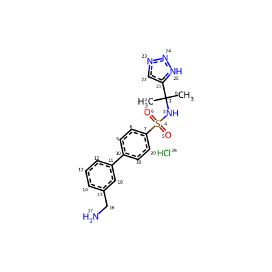 CC(C)(NS(=O)(=O)c1ccc(-c2cccc(CN)c2)cc1)c1cnn[nH]1.Cl